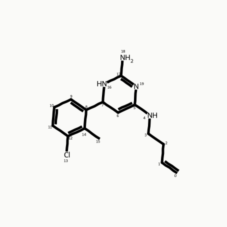 C=CCCNC1=CC(c2cccc(Cl)c2C)NC(N)=N1